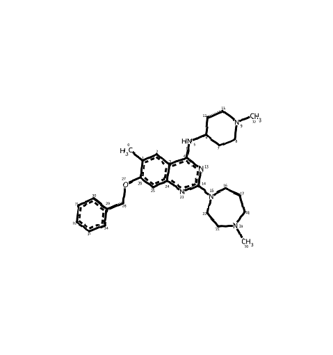 Cc1cc2c(NC3CCN(C)CC3)nc(N3CCCN(C)CC3)nc2cc1OCc1ccccc1